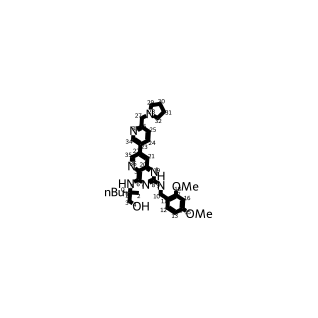 CCCC[C@](C)(CO)Nc1nc(NCc2ccc(OC)cc2OC)nc2cc(-c3ccc(CN4CCCC4)nc3)cnc12